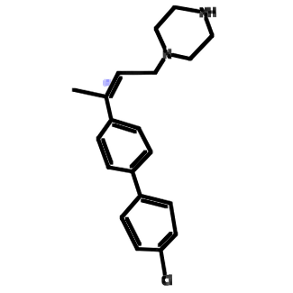 C/C(=C/CN1CCNCC1)c1ccc(-c2ccc(Cl)cc2)cc1